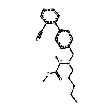 CCCCCN(Cc1ccc(-c2ccccc2C#N)cc1)[C@H](C)C(=O)OC